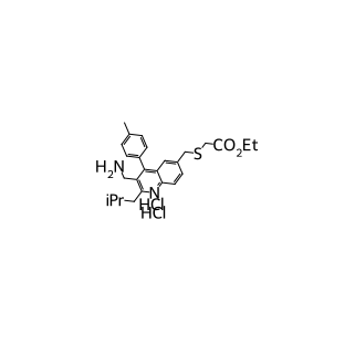 CCOC(=O)CSCc1ccc2nc(CC(C)C)c(CN)c(-c3ccc(C)cc3)c2c1.Cl.Cl